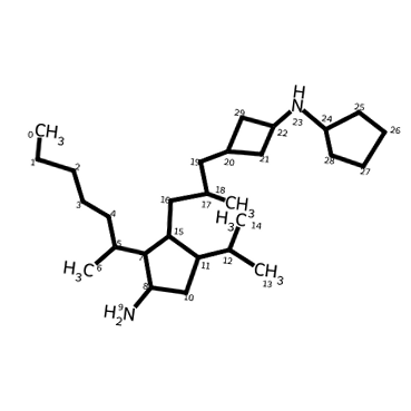 CCCCCC(C)C1C(N)CC(C(C)C)C1CC(C)CC1CC(NC2CCCC2)C1